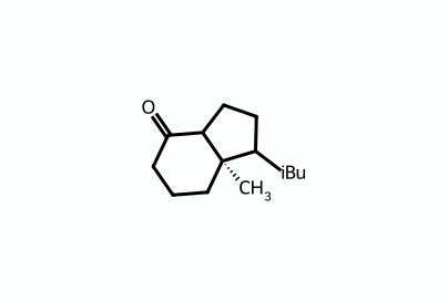 CCC(C)C1CCC2C(=O)CCC[C@@]21C